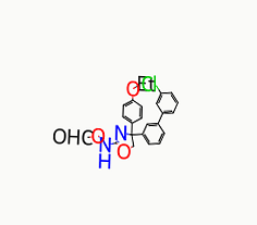 CCOc1ccc(C2(c3cccc(-c4cccc(Cl)c4)c3)COC(NOC=O)=N2)cc1